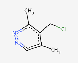 Cc1cnnc(C)c1CCl